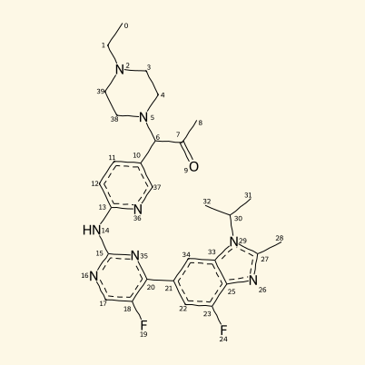 CCN1CCN(C(C(C)=O)c2ccc(Nc3ncc(F)c(-c4cc(F)c5nc(C)n(C(C)C)c5c4)n3)nc2)CC1